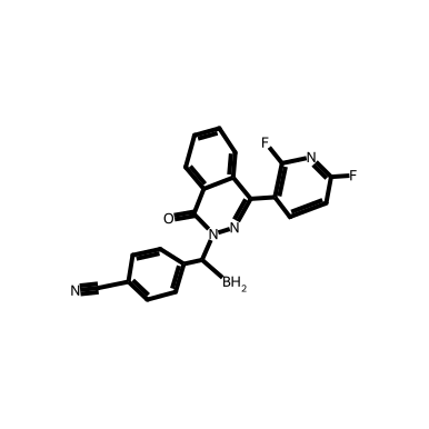 BC(c1ccc(C#N)cc1)n1nc(-c2ccc(F)nc2F)c2ccccc2c1=O